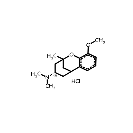 COc1cccc2c1OC1(C)CC2C[C@H](N(C)C)C1.Cl